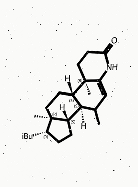 CCC(C)[C@H]1CC[C@H]2[C@@H]3C(C)C=C4NC(=O)CC[C@]4(C)[C@H]3CC[C@]12C